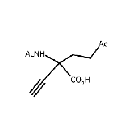 C#CC(CCC(C)=O)(NC(C)=O)C(=O)O